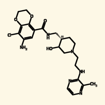 Cc1nccnc1NCCN1CC[C@@H](CNC(=O)c2cc(N)c(Cl)c3c2OCCO3)C(O)C1